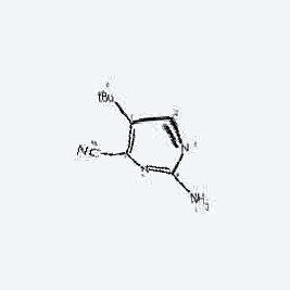 CC(C)(C)c1cnc(N)nc1C#N